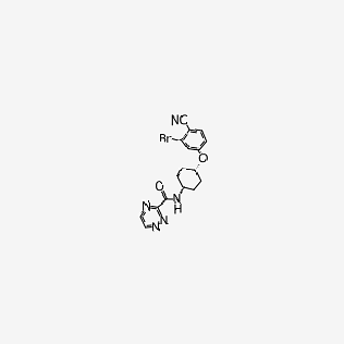 N#Cc1ccc(O[C@H]2CC[C@H](NC(=O)c3nccnn3)CC2)cc1Br